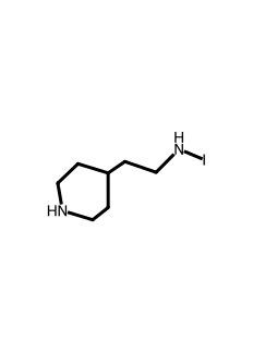 INCCC1CCNCC1